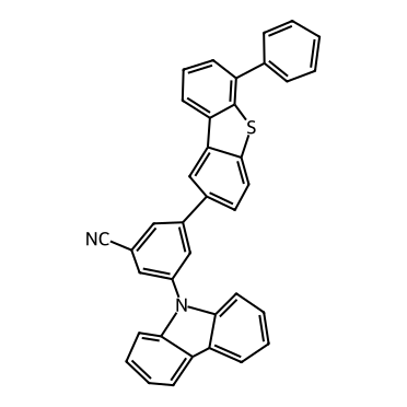 N#Cc1cc(-c2ccc3sc4c(-c5ccccc5)cccc4c3c2)cc(-n2c3ccccc3c3ccccc32)c1